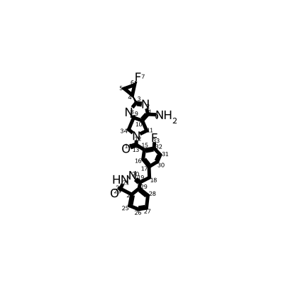 Nc1nc([C@H]2C[C@H]2F)nc2c1CN(C(=O)c1cc(Cc3n[nH]c(=O)c4ccccc34)ccc1F)C2